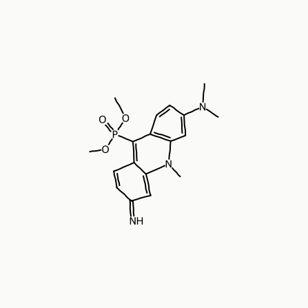 COP(=O)(OC)c1c2ccc(=N)cc-2n(C)c2cc(N(C)C)ccc12